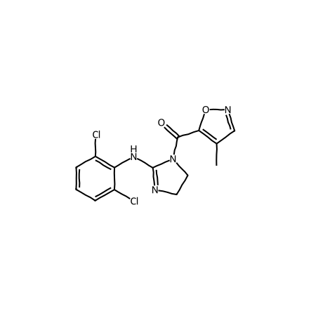 Cc1cnoc1C(=O)N1CCN=C1Nc1c(Cl)cccc1Cl